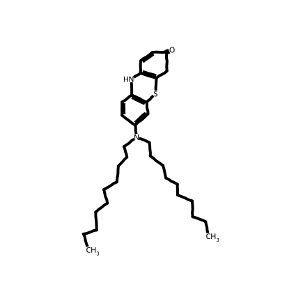 CCCCCCCCCCN(CCCCCCCCCC)c1ccc2c(c1)SC1=C(C=CC(=O)C1)N2